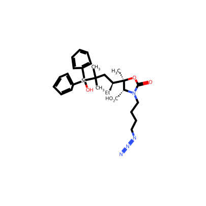 CC[C@@H](CC(C)(C)[Si](O)(c1ccccc1)c1ccccc1)[C@@]1(C)OC(=O)N(CCCCN=[N+]=[N-])[C@@H]1C(=O)O